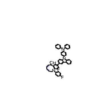 C=C1/C=C\C=C/CN(c2ccc(F)cc2F)c2ccc(-c3ccc4c(c3)c3ccccc3n4-c3ccc(N(c4ccccc4)c4ccccc4)cc3)cc21